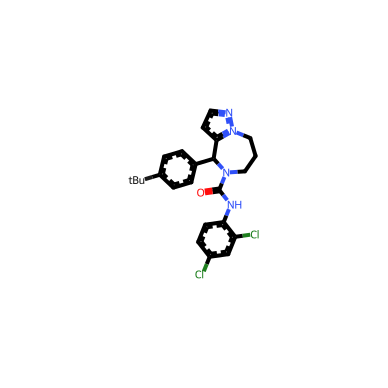 CC(C)(C)c1ccc(C2c3ccnn3CCCN2C(=O)Nc2ccc(Cl)cc2Cl)cc1